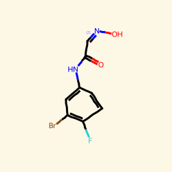 O=C(/C=N\O)Nc1ccc(F)c(Br)c1